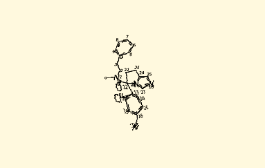 CN(CCc1ccccc1)C(=O)C1(c2ccc(C#N)cc2Cl)CCc2cncn21